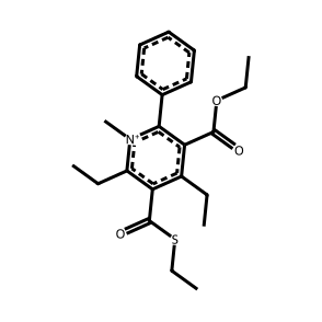 CCOC(=O)c1c(CC)c(C(=O)SCC)c(CC)[n+](C)c1-c1ccccc1